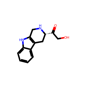 O=C(CO)[C@@H]1Cc2c([nH]c3ccccc23)CN1